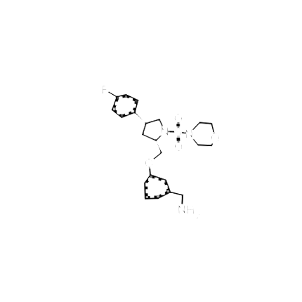 NCc1cccc(OC[C@H]2C[C@@H](c3ccc(F)cc3)CN2S(=O)(=O)N2CCOCC2)c1